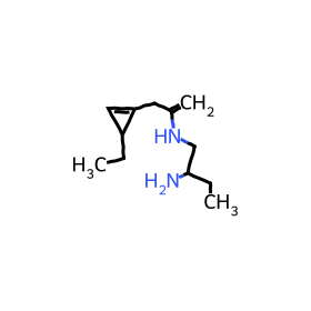 C=C(CC1=CC1CC)NCC(N)CC